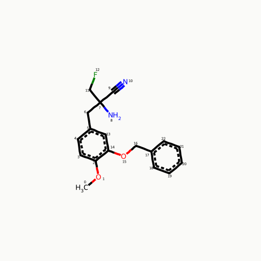 COc1ccc(CC(N)(C#N)CF)cc1OCc1ccccc1